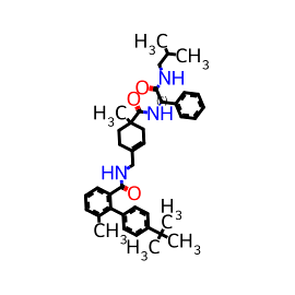 Cc1cccc(C(=O)NCC2=CCC(C)(C(=O)N[C@H](C(=O)NCC(C)C)c3ccccc3)CC2)c1-c1ccc(C(C)(C)C)cc1